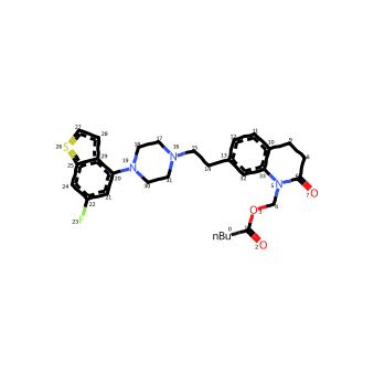 CCCCC(=O)OCN1C(=O)CCc2ccc(CCN3CCN(c4cc(F)cc5sccc45)CC3)cc21